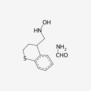 NC=O.ONCC1CCSc2ccccc21